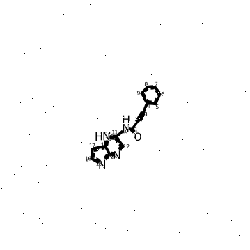 O=C(C#Cc1ccccc1)Nc1cnc2nccc-2[nH]1